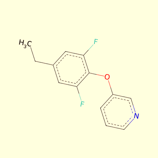 CCc1cc(F)c(Oc2cccnc2)c(F)c1